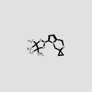 CC1(C)OB(c2ccc3n2CC2(CC2)OC3)OC1(C)C